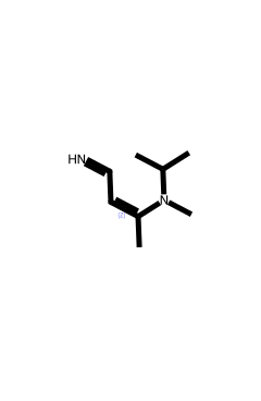 C/C(=C/C=N)N(C)C(C)C